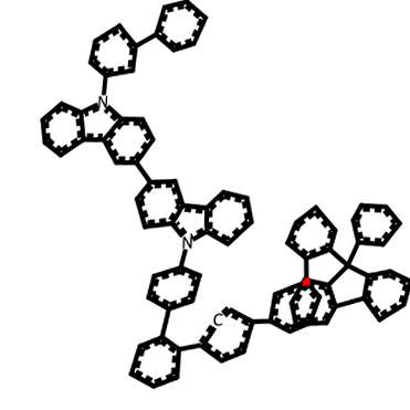 c1ccc(-c2cccc(-n3c4ccccc4c4cc(-c5ccc6c(c5)c5ccccc5n6-c5ccc(-c6ccccc6-c6ccc(-c7cccc(-c8ccccc8C8(c9ccccc9)c9ccccc9-c9ccccc98)c7)cc6)cc5)ccc43)c2)cc1